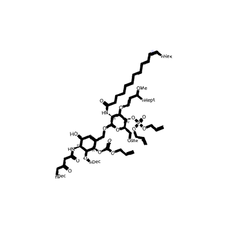 C=CCOC(=O)O[C@@H]1C(COC2OC(COC)[C@@H](OP(=O)(OCC=C)OCC=C)C(OCCC(CCCCCCC)OC)[C@H]2NC(=O)CCCCCCCCC/C=C\CCCCCC)CC(O)[C@H](NC(=O)CC(=O)CCCCCCCCCCC)C1OCCCCCCCCCC